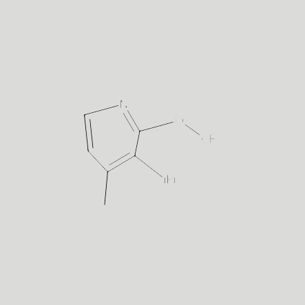 Cc1ccnc(OC(F)(F)F)c1C(C)C